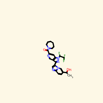 CC(O)c1ccc2ncc(-c3nn(C(F)C(F)F)c4cc(C(=O)N5CCCCCC5)ncc34)n2c1